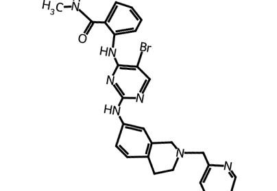 CNC(=O)c1ccccc1Nc1nc(Nc2ccc3c(c2)CN(Cc2ccccn2)CC3)ncc1Br